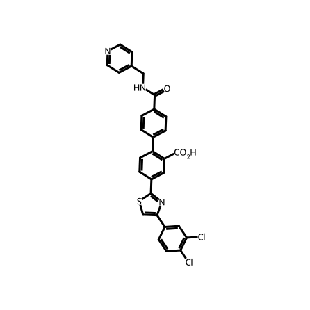 O=C(NCc1ccncc1)c1ccc(-c2ccc(-c3nc(-c4ccc(Cl)c(Cl)c4)cs3)cc2C(=O)O)cc1